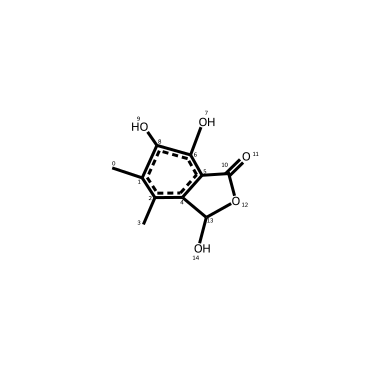 Cc1c(C)c2c(c(O)c1O)C(=O)OC2O